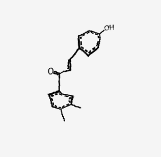 Cc1ccc(C(=O)/C=C/c2ccc(O)cc2)cc1C